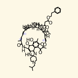 CO[C@H]1/C=C/O[C@@]2(C)Oc3c(C)c(O)c4c(c3C2=O)C2=NC3(CCN(CC(C)C)CC3)NC2=C(NC(=O)/C(C)=C\C=C\[C@H](C)[C@H](O)[C@@H](C)[C@@H](O)[C@@H](C)[C@H](OC(=O)CC(=O)OCCc2ccccc2)[C@@H]1C)C4=O